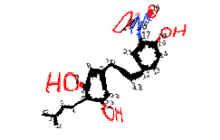 CC(C)=CCc1c(O)cc(C=Cc2ccc(O)c([N+](=O)[O-])c2)cc1O